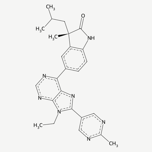 CCn1c(-c2cnc(C)nc2)nc2c(-c3ccc4c(c3)[C@](C)(CC(C)C)C(=O)N4)ncnc21